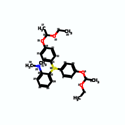 CCOC(C)Oc1ccc([S+](c2ccc(OC(C)OCC)cc2)c2ccccc2N(C)C)cc1